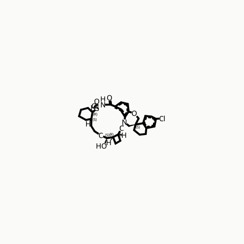 O=C1NS(=O)(=O)[C@@H]2CCCC[C@H]2CCC[C@H](O)[C@@H]2CC[C@H]2CN2C[C@@]3(CCCc4cc(Cl)ccc43)COc3ccc1cc32